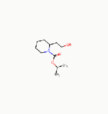 CC(C)OC(=O)N1CCCCC1CCO